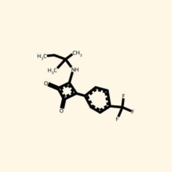 CCC(C)(C)Nc1c(-c2ccc(C(F)(F)F)cc2)c(=O)c1=O